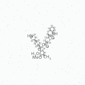 COc1c(C)cc(CC(OC(=O)N2CCC(N3CCc4ccccc4NC3=O)CC2)C(=O)N2CCN(C3CCNCC3)CC2)cc1C